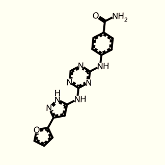 NC(=O)c1ccc(Nc2ncnc(Nc3cc(-c4ccco4)n[nH]3)n2)cc1